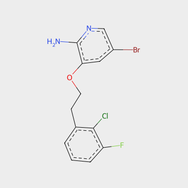 Nc1ncc(Br)cc1OCCc1cccc(F)c1Cl